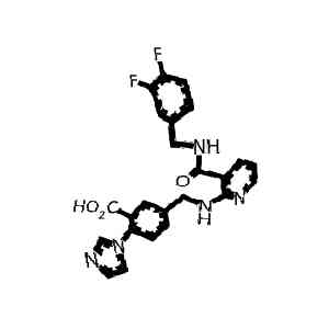 O=C(O)c1cc(CNc2ncccc2C(=O)NCc2ccc(F)c(F)c2)ccc1-n1ccnc1